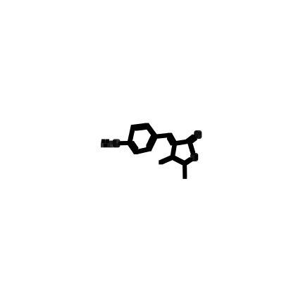 COc1ccc(C=C2C(=O)OC(C)C2C)cc1